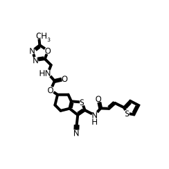 Cc1nnc(CNC(=O)OC2CCc3c(sc(NC(=O)C=Cc4cccs4)c3C#N)C2)o1